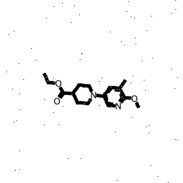 CCOC(=O)C1CCN(c2cnc(OC)c(C)c2)CC1